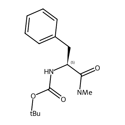 CNC(=O)[C@H](Cc1ccccc1)NC(=O)OC(C)(C)C